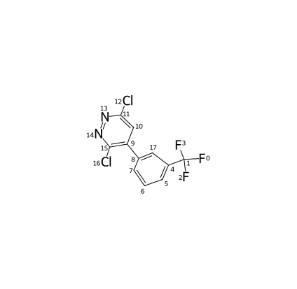 FC(F)(F)c1cccc(-c2cc(Cl)nnc2Cl)c1